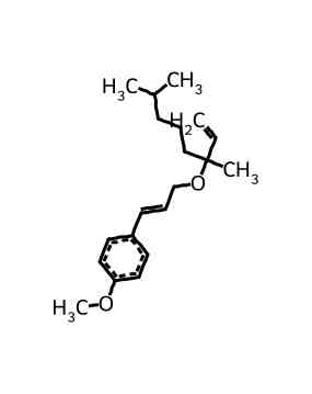 C=CC(C)(CCCC(C)C)OC/C=C/c1ccc(OC)cc1